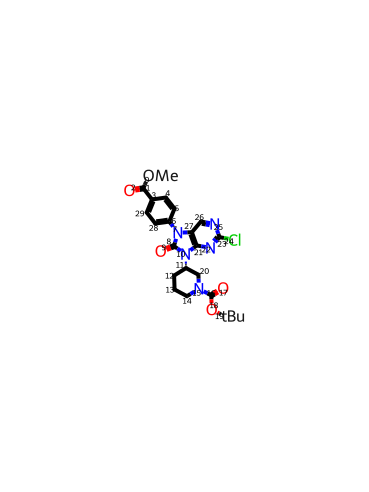 COC(=O)c1ccc(-n2c(=O)n([C@H]3CCCN(C(=O)OC(C)(C)C)C3)c3nc(Cl)ncc32)cc1